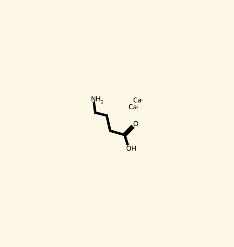 NCCCC(=O)O.[Ca].[Ca]